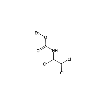 CCOC(=O)NC(Cl)C(Cl)Cl